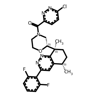 C[C@H]1CC[C@](C)([C@H]2CN(C(=O)c3ccc(Cl)nn3)CCO2)c2nnc(-c3c(F)cccc3F)cc21